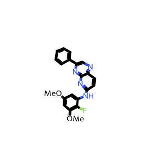 COc1cc(Nc2ccc3ncc(-c4ccccc4)nc3n2)c(F)c(OC)c1